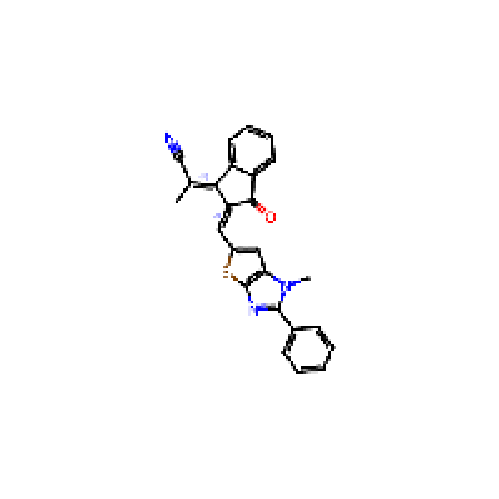 C/C(C#N)=C1\C(=C\c2cc3c(nc(-c4ccccc4)n3C)s2)C(=O)c2ccccc21